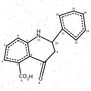 O=C(O)c1cccc2c1C(=O)CC(c1ccccc1)N2